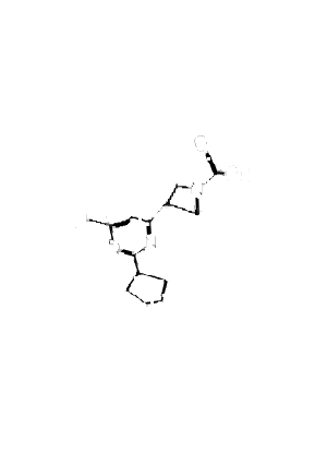 O=C(O)N1CC(c2cc(Cl)nc(C3CCCC3)n2)C1